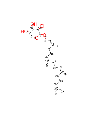 CC(=CCO[C@H]1OC[C@@H](O)[C@H](O)[C@H]1O)CCCC(C)CCCC(C)CCCC(C)C